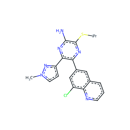 CC(C)Sc1nc(-c2cc(Cl)c3ncccc3c2)c(-c2ccn(C)n2)nc1N